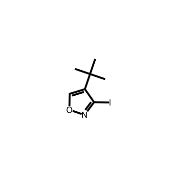 CC(C)(C)c1conc1I